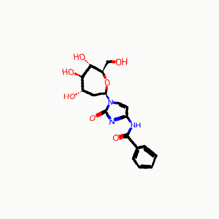 O=C(Nc1ccn([C@H]2C[C@H](O)[C@@H](O)[C@H](O)[C@@H](CO)O2)c(=O)n1)c1ccccc1